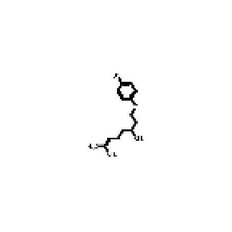 CC(C)=CCCC(C)CCOc1ccc(Br)cc1